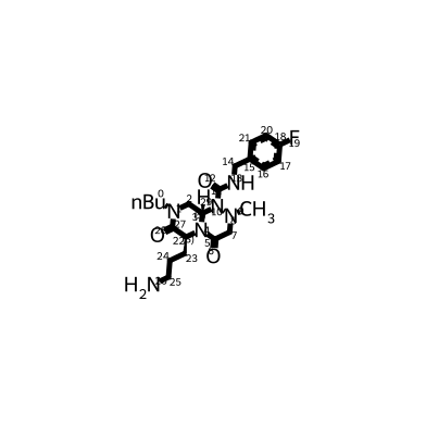 CCCCN1C[C@H]2N(C(=O)CN(C)N2C(=O)NCc2ccc(F)cc2)[C@@H](CCCN)C1=O